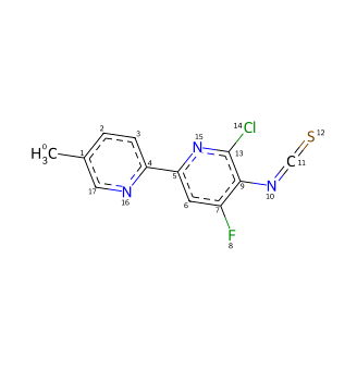 Cc1ccc(-c2cc(F)c(N=C=S)c(Cl)n2)nc1